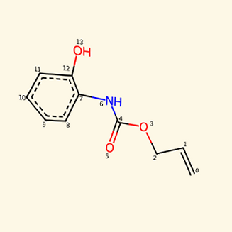 C=CCOC(=O)Nc1ccccc1O